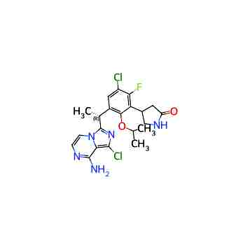 CC(C)Oc1c([C@@H](C)c2nc(Cl)c3c(N)nccn23)cc(Cl)c(F)c1C1CNC(=O)C1